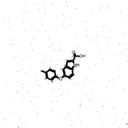 Cc1ccc(Oc2ccc3[nH]c(C(=O)O)cc3c2)cc1